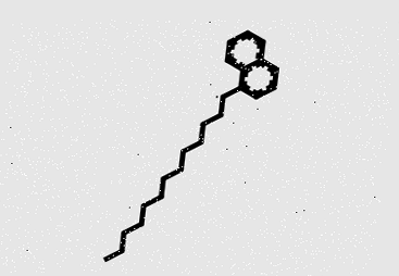 CCCCCCCCCCCC[CH]c1cccc2ccccc12